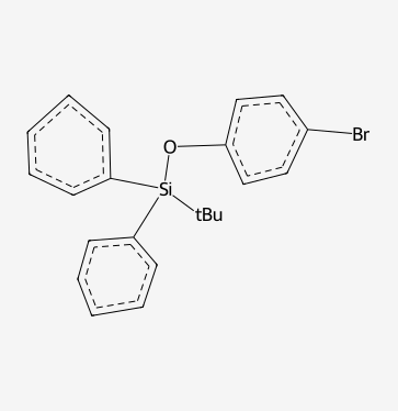 CC(C)(C)[Si](Oc1ccc(Br)cc1)(c1ccccc1)c1ccccc1